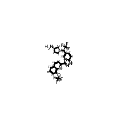 N[C@H]1CCN([C@H](c2ccc3nnc(-c4ccc5cccc(OC(F)(F)F)c5n4)n3c2)C(F)(F)F)C1